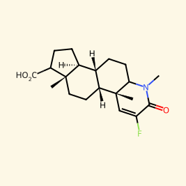 CN1C(=O)C(F)=C[C@@]2(C)C1CC[C@@H]1[C@H]2CC[C@]2(C)C(C(=O)O)CC[C@@H]12